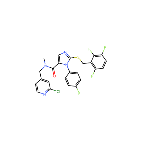 CN(Cc1ccnc(Cl)c1)C(=O)c1cnc(SCc2c(F)ccc(F)c2F)n1-c1ccc(F)cc1